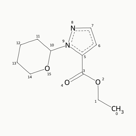 CCOC(=O)c1ccnn1C1CCCCO1